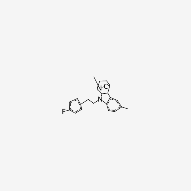 Cc1ccc2c(c1)C1C3CCC(C1N2CCc1ccc(F)cc1)N(C)C3